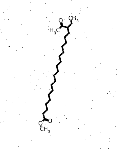 CCC(CCCCCCCCCCCCCCCCCCC(=O)OC)C(C)=O